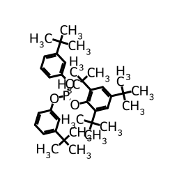 CC(C)(C)c1cccc(OP(Oc2cccc(C(C)(C)C)c2)Oc2c(C(C)(C)C)cc(C(C)(C)C)cc2C(C)(C)C)c1